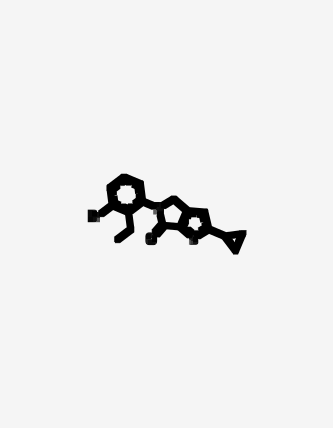 CCc1c(Br)cccc1N1Cc2cc(C3CC3)sc2C1=O